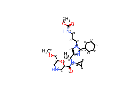 COC[C@@H]1CNC[C@H](C(=O)N(C2CC2)[C@H](C)c2cn(CCCNC(=O)OC)c(C3CCCCC3)n2)O1